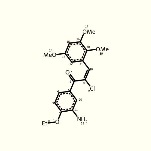 CCOc1ccc(C(=O)/C(Cl)=C\c2cc(OC)cc(OC)c2OC)cc1N